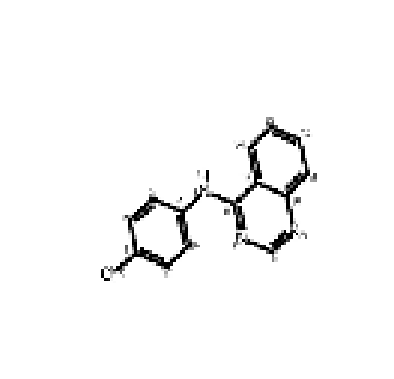 Clc1ccc(Nc2ncnc3ccccc23)cc1